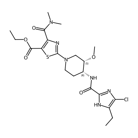 CCOC(=O)c1sc(N2CC[C@@H](NC(=O)c3nc(Cl)c(CC)[nH]3)[C@@H](OC)C2)nc1C(=O)N(C)C